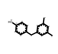 Cc1cc(C)cc(Cc2ccc(O)cc2)c1